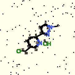 Cl.Cn1ccc(-c2ccc(CCl)cn2)n1